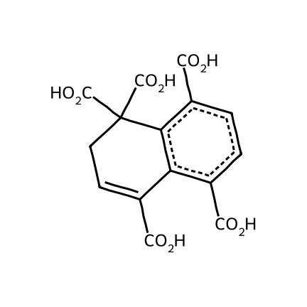 O=C(O)C1=CCC(C(=O)O)(C(=O)O)c2c(C(=O)O)ccc(C(=O)O)c21